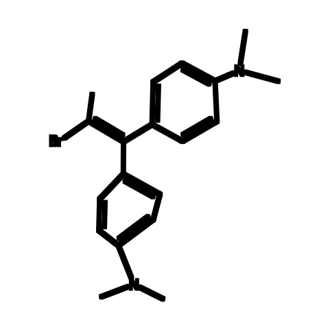 CC(Br)=C(c1ccc(N(C)C)cc1)c1ccc(N(C)C)cc1